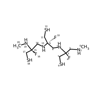 CNCC(F)(CS)NC[C@](F)(CS)NC[C@](F)(CS)NC